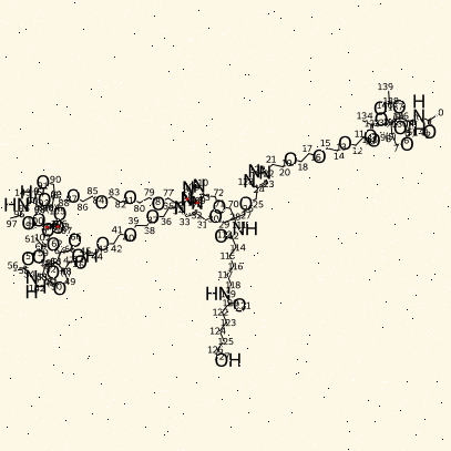 CC(=O)N[C@H]1[C@H]2OC[C@](COCCOCCOCCOCCn3cc(COCC(COCc4cn(CCOCCOCCOCCOC[C@@]56CO[C@@H](O5)[C@H](NC(C)=O)[C@H](OC(C)=O)[C@H]6CC(=O)O)nn4)(COCc4cn(CCOCCOCCOCCOC[C@@]56CO[C@@H](O5)[C@H](NC(C)=O)[C@@H](OC(C)=O)[C@H]6OC(C)=O)nn4)NC(=O)CCCCCNC(=O)CCCCCO)nn3)(O2)[C@H](OC(C)=O)[C@@H]1OC(C)=O